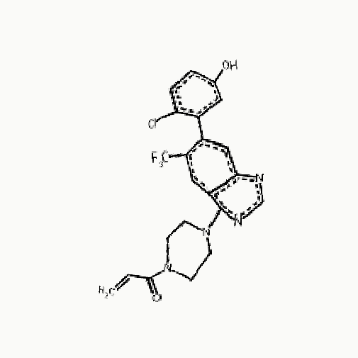 C=CC(=O)N1CCN(c2ncnc3cc(-c4cc(O)ccc4Cl)c(C(F)(F)F)cc23)CC1